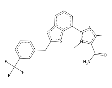 Cc1nc(-c2cccc3cc(Cc4cccc(C(F)(F)F)c4)sc23)n(C)c1C(N)=O